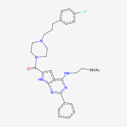 CC(=O)NCCNc1nc(-c2ccccc2)nc2[nH]c(C(=O)N3CCN(CCCc4ccc(F)cc4)CC3)cc12